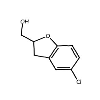 OCC1Cc2cc(Cl)ccc2O1